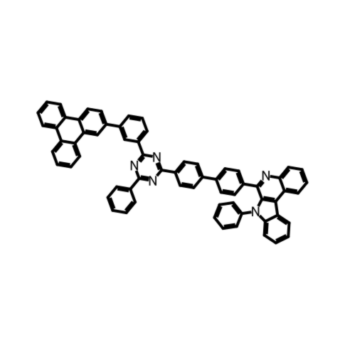 c1ccc(-c2nc(-c3ccc(-c4ccc(-c5nc6ccccc6c6c7ccccc7n(-c7ccccc7)c56)cc4)cc3)nc(-c3cccc(-c4ccc5c6ccccc6c6ccccc6c5c4)c3)n2)cc1